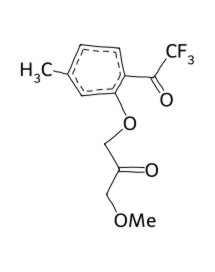 COCC(=O)COc1cc(C)ccc1C(=O)C(F)(F)F